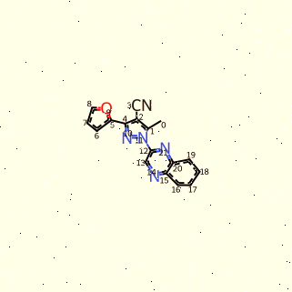 Cc1c(C#N)c(-c2ccco2)nn1-c1cnc2ccccc2n1